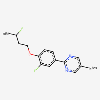 CCCCCCc1cnc(-c2ccc(OCCC(F)CCCC)c(F)c2)nc1